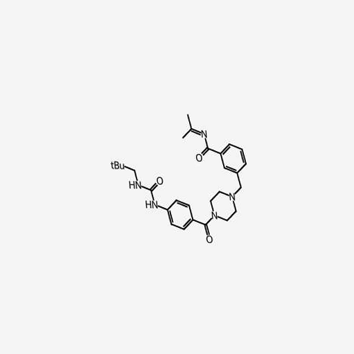 CC(C)=NC(=O)c1cccc(CN2CCN(C(=O)c3ccc(NC(=O)NCC(C)(C)C)cc3)CC2)c1